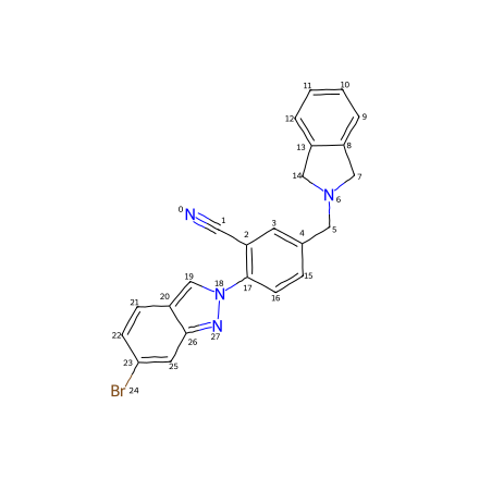 N#Cc1cc(CN2Cc3ccccc3C2)ccc1-n1cc2ccc(Br)cc2n1